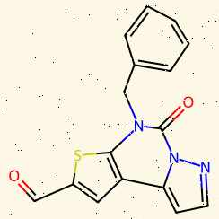 O=Cc1cc2c(s1)n(Cc1ccccc1)c(=O)n1nccc21